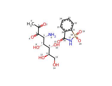 CC(=O)C(=O)[C@H](N)[C@@H](O)[C@H](O)[C@H](O)CO.O=C1NS(=O)(=O)c2ccccc21